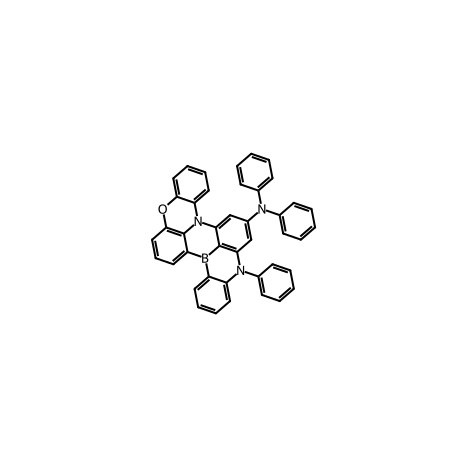 c1ccc(N(c2ccccc2)c2cc3c4c(c2)N2c5ccccc5Oc5cccc(c52)B4c2ccccc2N3c2ccccc2)cc1